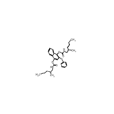 CCCCC(C)CNC(=O)Oc1cc(Oc2ccccc2)c(OC(=O)NCC(C)CCCC)c2ccccc12